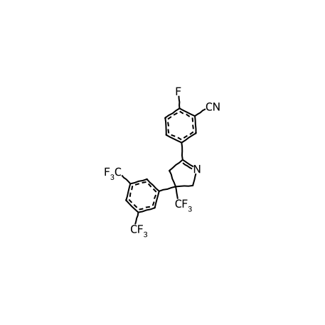 N#Cc1cc(C2=NCC(c3cc(C(F)(F)F)cc(C(F)(F)F)c3)(C(F)(F)F)C2)ccc1F